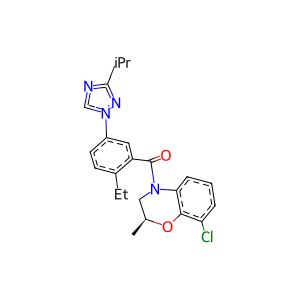 CCc1ccc(-n2cnc(C(C)C)n2)cc1C(=O)N1C[C@H](C)Oc2c(Cl)cccc21